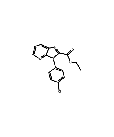 CCOC(=O)c1nc2cccnc2n1-c1ccc(Cl)cc1